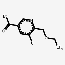 CCC(=O)c1cnc(COCC(F)(F)F)c(Cl)c1